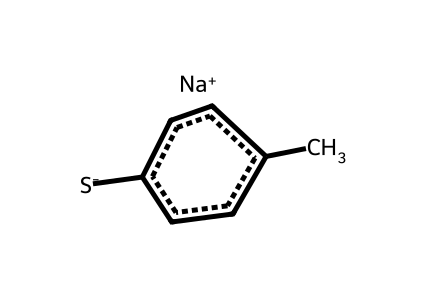 Cc1ccc([S-])cc1.[Na+]